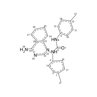 Cc1ccc(NC(=O)Nc2ccc(C)cc2)cc1.Nc1ncnc2ccccc12